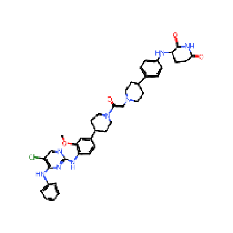 COc1cc(C2CCN(C(=O)CN3CCC(c4ccc(NC5CCC(=O)NC5=O)cc4)CC3)CC2)ccc1Nc1ncc(Cl)c(Nc2ccccc2)n1